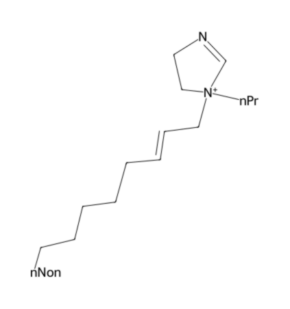 CCCCCCCCCCCCCCC=CC[N+]1(CCC)C=NCC1